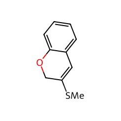 CSC1=Cc2ccccc2OC1